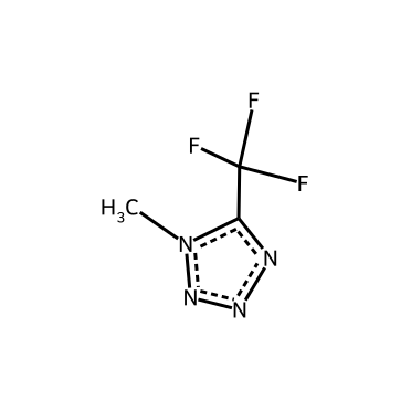 Cn1nnnc1C(F)(F)F